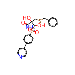 NC(=O)C(O)(CSCc1ccccc1)C(O)S(=O)(=O)c1ccc(-c2ccncc2)cc1